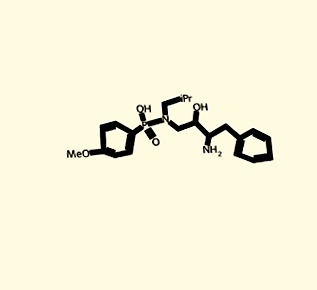 COc1ccc(P(=O)(O)N(CC(C)C)CC(O)C(N)Cc2ccccc2)cc1